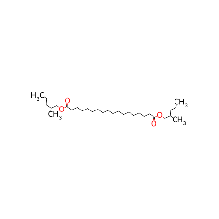 CCCC(C)COC(=O)CCCCCCCCCCCCCCCCC(=O)OCC(C)CCC